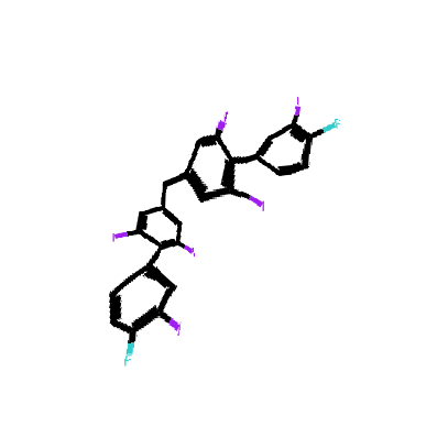 Fc1ccc(-c2c(I)cc(Cc3cc(I)c(-c4ccc(F)c(I)c4)c(I)c3)cc2I)cc1I